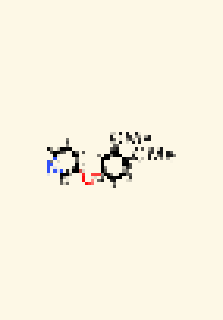 COc1ccc(Oc2c[c]cnc2)cc1OC